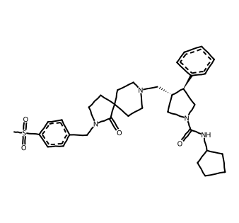 CS(=O)(=O)c1ccc(CN2CCC3(CCN(C[C@H]4CN(C(=O)NC5CCCC5)C[C@@H]4c4ccccc4)CC3)C2=O)cc1